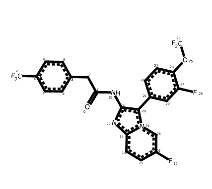 O=C(Cc1ccc(C(F)(F)F)cc1)Nc1nc2ccc(F)cn2c1-c1ccc(OC(F)(F)F)c(F)c1